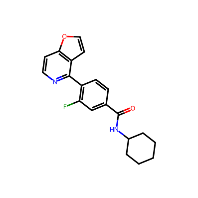 O=C(NC1CCCCC1)c1ccc(-c2nccc3occc23)c(F)c1